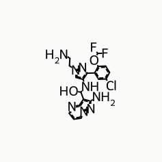 NCCn1cc(NC(O)c2c(N)nn3cccnc23)c(-c2cc(Cl)ccc2OC(F)F)n1